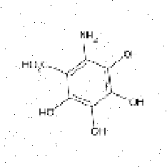 Nc1c(O)c(O)c(O)c(O)c1C(=O)O